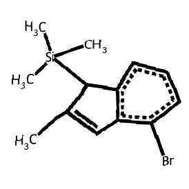 CC1=Cc2c(Br)cccc2C1[Si](C)(C)C